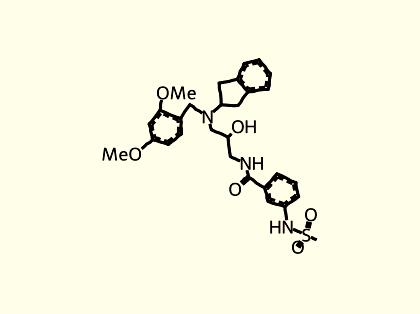 COc1ccc(CN(CC(O)CNC(=O)c2cccc(NS(C)(=O)=O)c2)C2Cc3ccccc3C2)c(OC)c1